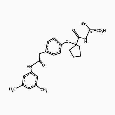 Cc1cc(C)cc(NC(=O)Cc2ccc(OC3(C(=O)N[C@H](C(=O)O)C(C)C)CCCC3)cc2)c1